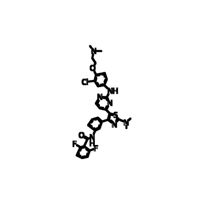 CN(C)CCOc1ccc(Nc2nccc(-c3sc(N(C)C)nc3-c3cccc(NC(=O)c4c(F)cccc4F)c3)n2)cc1Cl